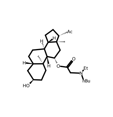 CCCCN(CC)CC(=O)O[C@H]1C[C@]2(C)[C@@H](C(C)=O)CC[C@H]2[C@@H]2CC[C@H]3C[C@H](O)CC[C@]3(C)[C@H]21